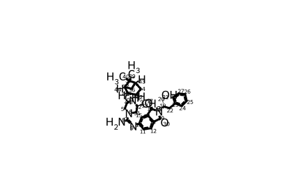 C[C@H]1[C@@H](N2CCN(C(N)=Nc3ccc4c(c3)C(=O)N([C@H](CO)Cc3ccccc3)C4=O)C[C@@H]2C)C[C@@H]2C[C@@H]1C2(C)C